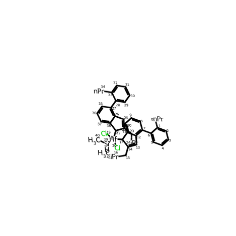 CCCc1ccccc1-c1cccc2c1C=C(CC(C)C)[CH]2[Hf]([Cl])([Cl])([CH]1C(CC(C)C)=Cc2c(-c3ccccc3CCC)cccc21)[SiH](C)C